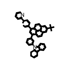 C/C=C(\C=C/C(C)c1ccccn1)c1cc(-c2cccc(-n3c4c(c5ccccc53)C=CCC4)c2)c2ccc3cc(C(C)(C)C)cc4ccc1c2c43